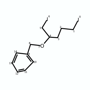 ICCCC(CI)OCc1ccccc1